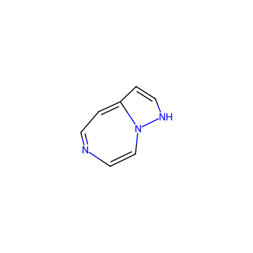 C1=CN2NC=CC2=CC=N1